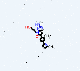 CCNc1ncc2cc(-c3ccc(-c4cccc(C)n4)cc3C)c(=O)n(CCCCO)c2n1